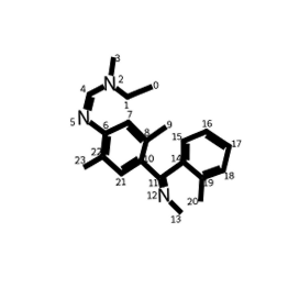 CCN(C)/C=N\c1cc(C)c(/C(=N/C)c2ccccc2C)cc1C